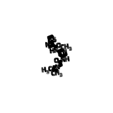 Cc1ncc(NC(=O)CN2CC(C)(C)C2)cc1NC(=O)c1cnn2ccsc12